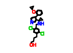 OCCCCc1cc(Cl)c(CNC2(c3cnccc3-c3ccccc3OC3CC3)CC2)cc1Cl